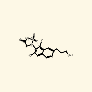 CNCCCc1ccc2cc(O)c(N3CC(=O)NS3(=O)=O)c(F)c2c1